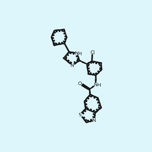 O=C(Nc1ccc(Cl)c(-c2ncc(-c3ccccc3)[nH]2)c1)c1ccc2ncsc2c1